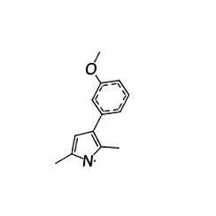 COc1cccc(C2=C(C)[N]C(C)=C2)c1